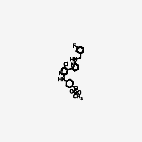 CS(=O)(=O)O[C@H]1CC[C@H](Nc2cc(-c3cccc(NCc4cccc(F)c4)n3)c(Cl)cn2)CC1